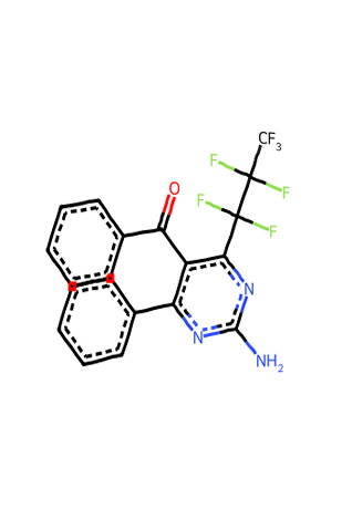 Nc1nc(-c2ccccc2)c(C(=O)c2ccccc2)c(C(F)(F)C(F)(F)C(F)(F)F)n1